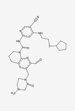 CN1CCN(Cc2cc3c(nc2C=O)N(C(=O)Nc2cc(NCCSC4CCCC4)c(C#N)cn2)CCC3)C(=O)C1